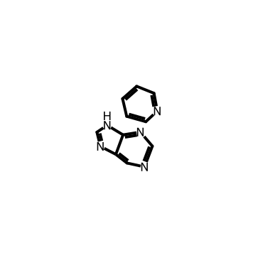 c1ccncc1.c1ncc2nc[nH]c2n1